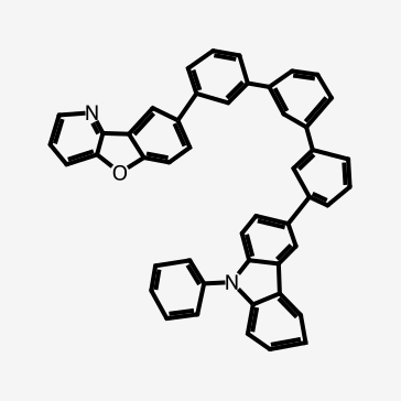 c1ccc(-n2c3ccccc3c3cc(-c4cccc(-c5cccc(-c6cccc(-c7ccc8oc9cccnc9c8c7)c6)c5)c4)ccc32)cc1